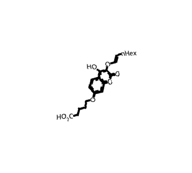 CCCCCCC=COc1c(O)c2ccc(OCCCCC(=O)O)cc2oc1=O